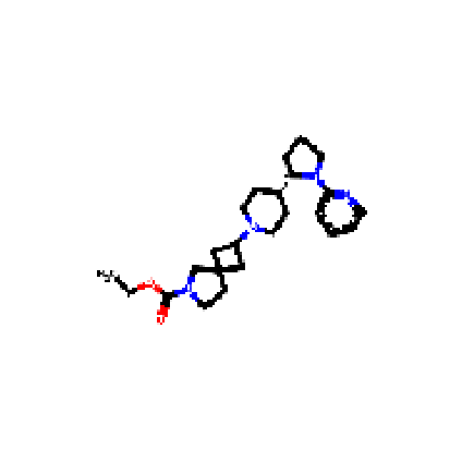 CCOC(=O)N1CCC2(CC(N3CCC([C@@H]4CCCN4c4ccccn4)CC3)C2)C1